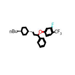 CCCC[C@H]1CC[C@H](CCC(Oc2ccc(C(F)(F)F)c(F)c2)c2ccccc2)CC1